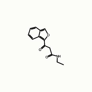 CCNC(=O)CC(=O)c1occ2ccccc12